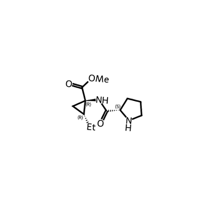 CC[C@@H]1C[C@]1(NC(=O)[C@@H]1CCCN1)C(=O)OC